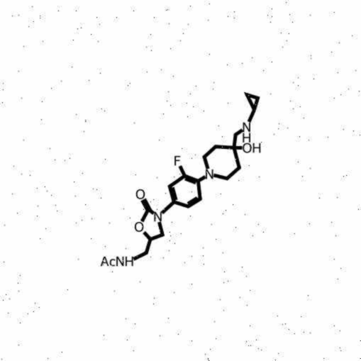 CC(=O)NCC1CN(c2ccc(N3CCC(O)(CNC4CC4)CC3)c(F)c2)C(=O)O1